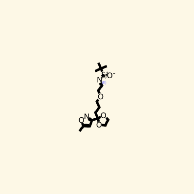 Cc1cc(C2(CCCOC/C=N/[S@+]([O-])C(C)(C)C)OCCO2)no1